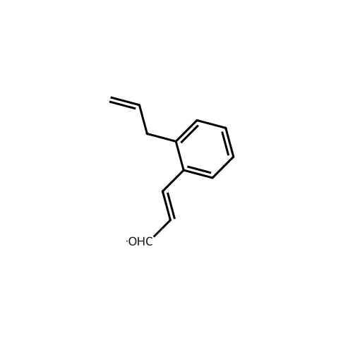 C=CCc1ccccc1/C=C/[C]=O